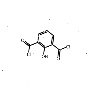 O=C(Cl)c1cccc(C(=O)Cl)c1O